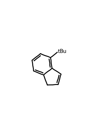 CC(C)(C)c1cccc2c1C=CC2